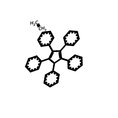 C=C.c1ccc(C2=C(c3ccccc3)C(c3ccccc3)C(c3ccccc3)=C2c2ccccc2)cc1